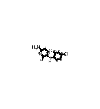 Cc1nc(N)ccc1Nc1ccc(Cl)cc1C(F)(F)F